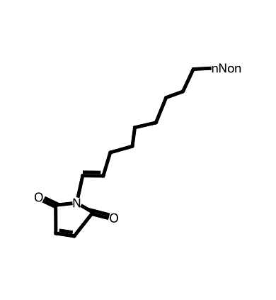 CCCCCCCCCCCCCCCC/C=C/N1C(=O)C=CC1=O